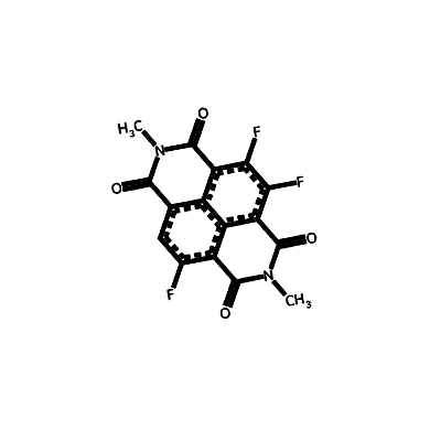 CN1C(=O)c2cc(F)c3c4c(c(F)c(F)c(c24)C1=O)C(=O)N(C)C3=O